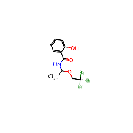 O=C(NC(OCC(Br)(Br)Br)C(Cl)(Cl)Cl)c1ccccc1O